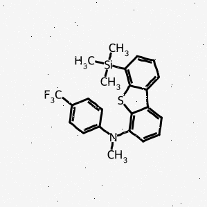 CN(c1ccc(C(F)(F)F)cc1)c1cccc2c1sc1c([Si](C)(C)C)cccc12